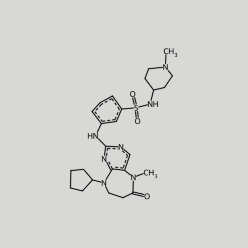 CN1CCC(NS(=O)(=O)c2cccc(Nc3ncc4c(n3)N(C3CCCC3)CCC(=O)N4C)c2)CC1